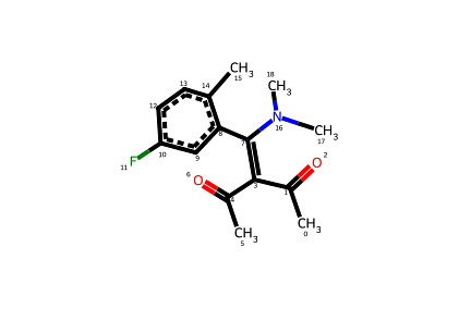 CC(=O)C(C(C)=O)=C(c1cc(F)ccc1C)N(C)C